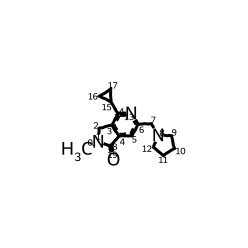 CN1Cc2c(cc(CN3CCCC3)nc2C2CC2)C1=O